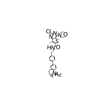 CC(=O)N1c2ccc(-c3ccc(CCNC(=O)c4sc5c(N6CCOCC6)nc(Cl)nc5c4C)cc3)cc2CC[C@@H]1C